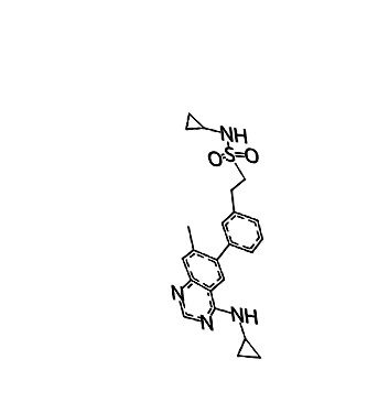 Cc1cc2ncnc(NC3CC3)c2cc1-c1cccc(CCS(=O)(=O)NC2CC2)c1